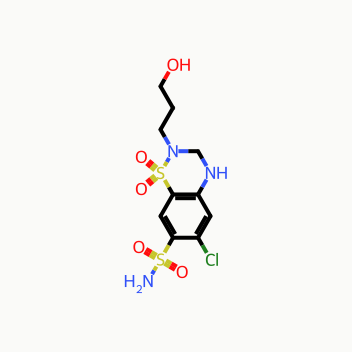 NS(=O)(=O)c1cc2c(cc1Cl)NCN(CCCO)S2(=O)=O